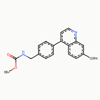 COc1ccc2c(-c3ccc(CNC(=O)OC(C)(C)C)cc3)ccnc2c1